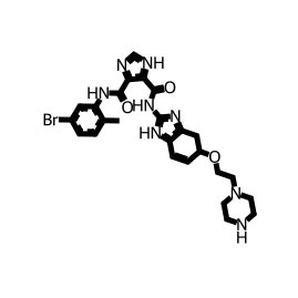 Cc1ccc(Br)cc1NC(=O)c1nc[nH]c1C(=O)Nc1nc2c([nH]1)C=CC(OCCN1CCNCC1)C2